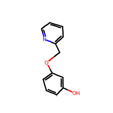 Oc1[c]ccc(OCc2ccccn2)c1